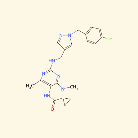 Cc1nc(NCc2cnn(Cc3ccc(F)cc3)c2)nc2c1NC(=O)C1(CC1)N2C